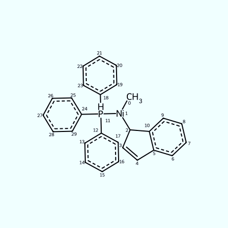 [CH3][Ni]([CH]1C=Cc2ccccc21)[PH](c1ccccc1)(c1ccccc1)c1ccccc1